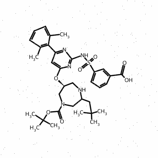 Cc1cccc(C)c1-c1cc(O[C@H]2CNC(CC(C)(C)C)CN(C(=O)OC(C)(C)C)C2)nc(NS(=O)(=O)c2cccc(C(=O)O)c2)n1